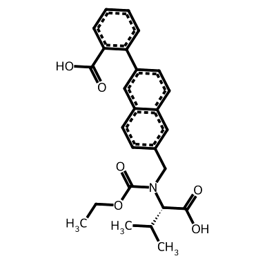 CCOC(=O)N(Cc1ccc2cc(-c3ccccc3C(=O)O)ccc2c1)[C@H](C(=O)O)C(C)C